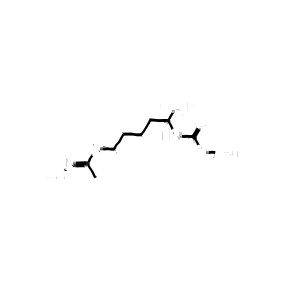 C/C(=N\O)NCCCCC(NC(=O)OC(C)(C)C)C(=O)O